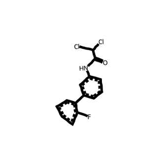 O=C(Nc1cccc(-c2ccccc2F)c1)C(Cl)Cl